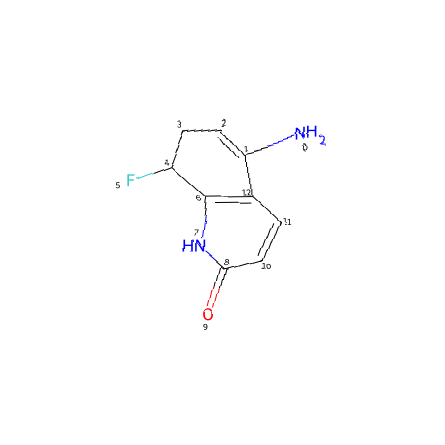 NC1=CCC(F)c2[nH]c(=O)ccc21